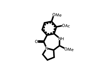 COc1ccc2c(c1OC(C)=O)NC(OC)C1CCCN1C2=O